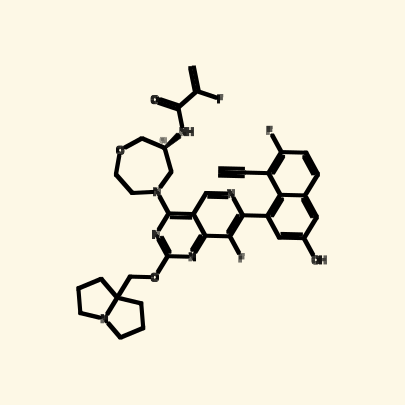 C#Cc1c(F)ccc2cc(O)cc(-c3ncc4c(N5CCOC[C@@H](NC(=O)C(=C)F)C5)nc(OCC56CCCN5CCC6)nc4c3F)c12